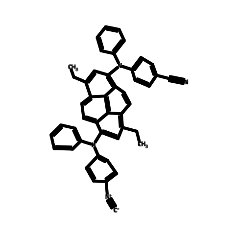 [C-]#[N+]c1ccc(N(c2ccccc2)c2cc(CC)c3ccc4c(N(c5ccccc5)c5ccc(C#N)cc5)cc(CC)c5ccc2c3c54)cc1